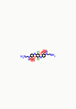 NCCNc1ccc2c(c1S(=O)(=O)O)Oc1c(Cl)c3c(c(Cl)c1=N2)Oc1c(ccc(NCCN)c1S(=O)(=O)O)N=3